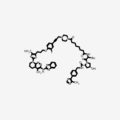 Cc1ncsc1-c1ccc(CNC(=O)[C@@H]2C[C@@H](O)CN2C(=O)C(NC(=O)CCCCCCC(=O)N2CCN(CC#Cc3ccc(OCCCc4sc(N5CCCc6c5nnc(Nc5nc7ccccc7s5)c6C)nc4C(=O)O)c(F)c3)CC2)C(C)(C)C)cc1